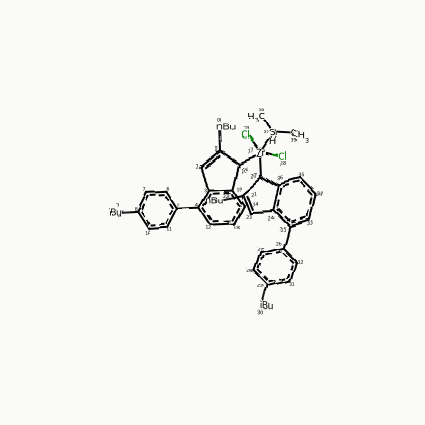 CCCCC1=Cc2c(-c3ccc(C(C)CC)cc3)cccc2[CH]1[Zr]([Cl])([Cl])([CH]1C(CCCC)=Cc2c(-c3ccc(C(C)CC)cc3)cccc21)[SiH](C)C